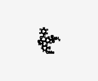 COc1ccc(-c2noc(OCc3ccccc3)c2-c2ccc(S(N)(=O)=O)cc2)cc1F